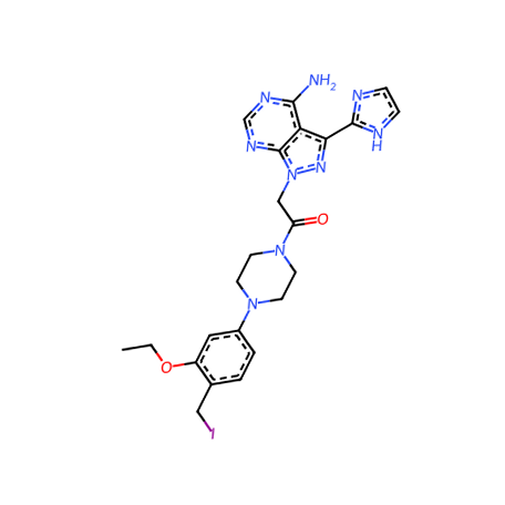 CCOc1cc(N2CCN(C(=O)Cn3nc(-c4ncc[nH]4)c4c(N)ncnc43)CC2)ccc1CI